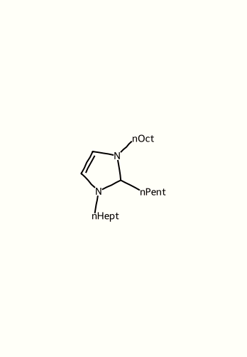 CCCCCCCCN1C=CN(CCCCCCC)C1CCCCC